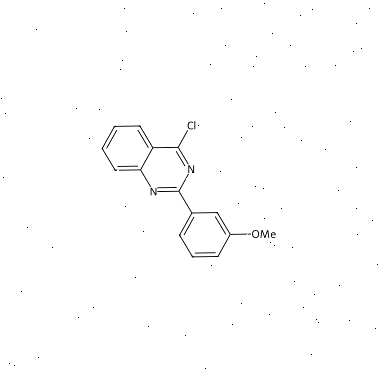 COc1cccc(-c2nc(Cl)c3ccccc3n2)c1